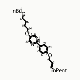 CCCCCC=CCOc1ccc(-c2ncc(OCCCCOCCCC)cn2)cc1